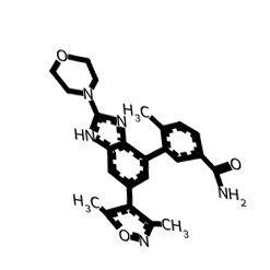 Cc1ccc(C(N)=O)cc1-c1cc(-c2c(C)noc2C)cc2[nH]c(N3CCOCC3)nc12